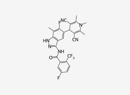 CC1=C(C#N)C(c2cc3c(NC(=O)c4cc(F)ccc4C(F)(F)F)n[nH]c3c(C)c2F)C(C#N)=C(C)N1C